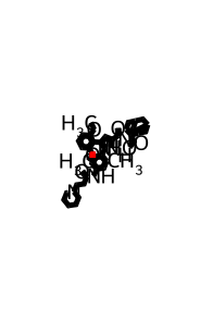 COc1cccc(OC)c1-c1cc(C(=O)NC2(C(=O)O)C3CC4CC(C3)CC2C4)nn1-c1ccc(NC(=O)CCN2CCCCC2)cc1C